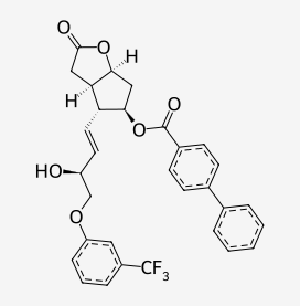 O=C1C[C@@H]2[C@@H](/C=C/[C@H](O)COc3cccc(C(F)(F)F)c3)[C@H](OC(=O)c3ccc(-c4ccccc4)cc3)C[C@@H]2O1